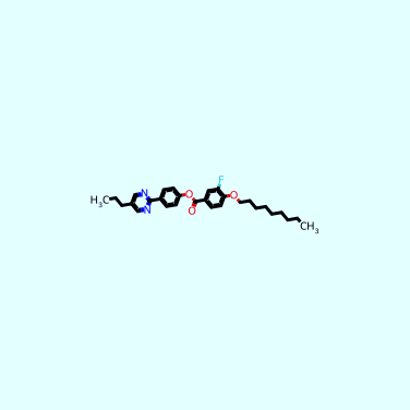 CCCCCCCCCOc1ccc(C(=O)Oc2ccc(-c3ncc(CCC)cn3)cc2)cc1F